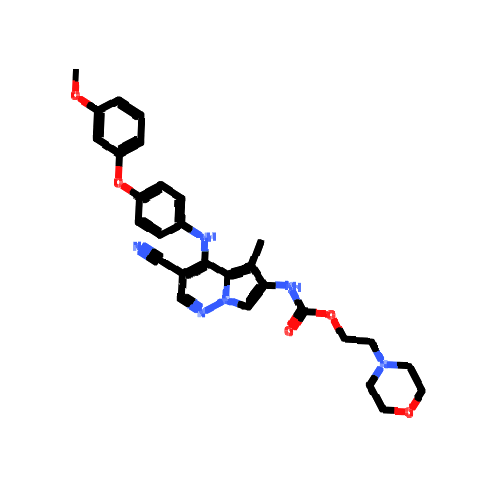 COc1cccc(Oc2ccc(Nc3c(C#N)cnn4cc(NC(=O)OCCN5CCOCC5)c(C)c34)cc2)c1